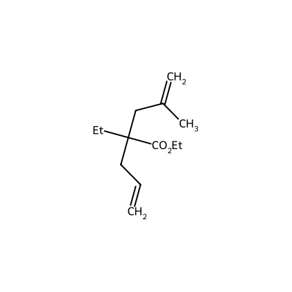 C=CCC(CC)(CC(=C)C)C(=O)OCC